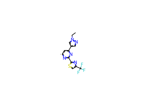 CCn1cc(-c2c[c]nc(-c3nc(C(F)(F)F)cs3)n2)cn1